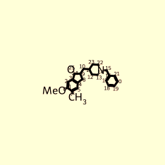 COc1cc2c(cc1C)CC(CC1CCN(Cc3ccccc3)CC1)C2=O